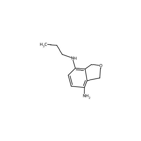 CCCNc1ccc(N)c2c1COC2